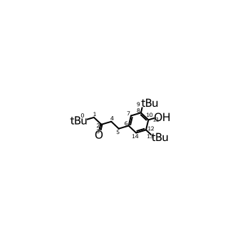 CC(C)(C)CC(=O)CCc1cc(C(C)(C)C)c(O)c(C(C)(C)C)c1